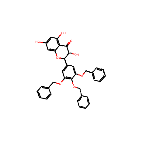 O=C1c2c(O)cc(O)cc2OC(c2cc(OCc3ccccc3)c(OCc3ccccc3)c(OCc3ccccc3)c2)C1O